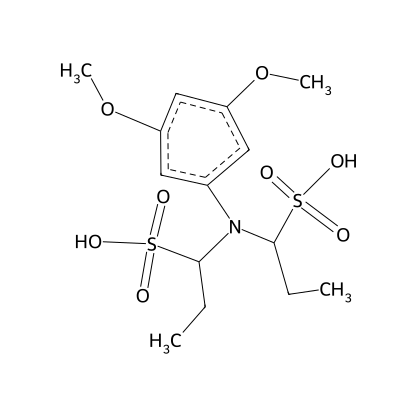 CCC(N(c1cc(OC)cc(OC)c1)C(CC)S(=O)(=O)O)S(=O)(=O)O